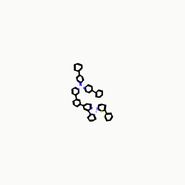 c1ccc(-c2ccc(N(c3ccc(-c4ccccc4)cc3)c3cccc(-c4cccc(-c5ccc6c(c5)c5ccccc5n6-c5cccc6c5sc5ccccc56)c4)c3)cc2)cc1